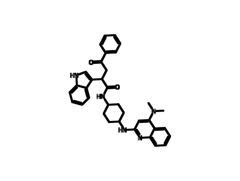 CN(C)c1cc(NC2CCC(NC(=O)C(CC(=O)c3ccccc3)c3c[nH]c4ccccc34)CC2)nc2ccccc12